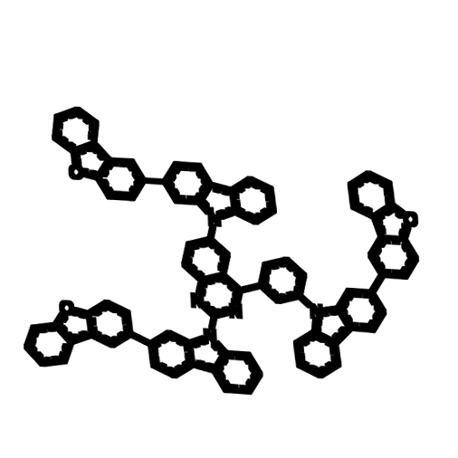 c1cc(-c2nc(-n3c4ccccc4c4ccc(-c5ccc6oc7ccccc7c6c5)cc43)nc3ccc(-n4c5ccccc5c5ccc(-c6ccc7oc8ccccc8c7c6)cc54)cc23)cc(-n2c3ccccc3c3ccc(-c4ccc5oc6ccccc6c5c4)cc32)c1